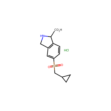 Cl.O=C(O)C1NCc2cc(S(=O)(=O)CC3CC3)ccc21